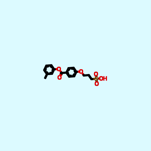 Cc1cccc(OC(=O)c2ccc(OCCCS(=O)(=O)O)cc2)c1